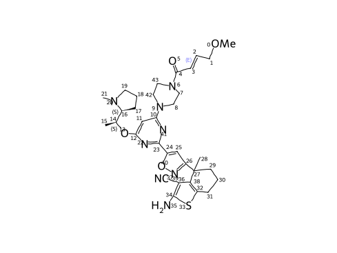 COC/C=C/C(=O)N1CCN(c2cc(O[C@@H](C)[C@@H]3CCCN3C)nc(-c3cc(C4(C)CCCc5sc(N)c(C#N)c54)no3)n2)CC1